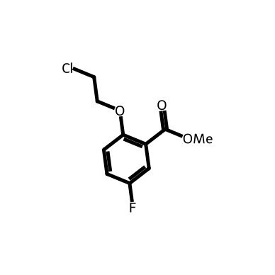 COC(=O)c1cc(F)ccc1OCCCl